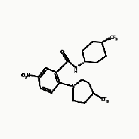 O=C(N[C@H]1CC[C@H](C(F)(F)F)CC1)c1cc([N+](=O)[O-])ccc1N1CCC(C(F)(F)F)CC1